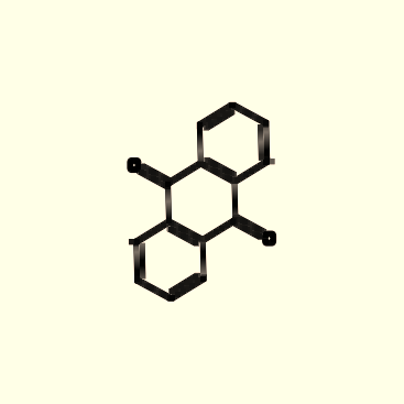 O=C1c2[c]cccc2C(=O)c2[c]cccc21